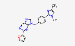 CC(C)n1cc(C(F)(F)F)nc1-c1ccc(Cn2cnc3cnc(-c4ccco4)nc32)cc1